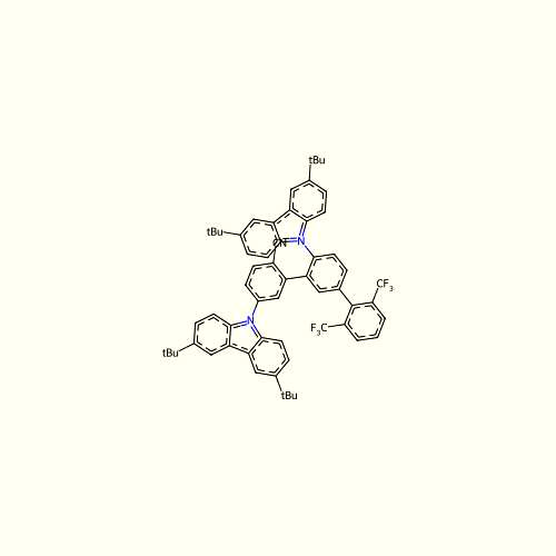 CC(C)(C)c1ccc2c(c1)c1cc(C(C)(C)C)ccc1n2-c1ccc(C#N)c(-c2cc(-c3c(C(F)(F)F)cccc3C(F)(F)F)ccc2-n2c3ccc(C(C)(C)C)cc3c3cc(C(C)(C)C)ccc32)c1